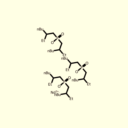 CCCCC(CC)CP(=O)([O-])CC(CC)CCCC.CCCCC(CC)CP(=O)([O-])CC(CC)CCCC.CCCCC(CC)CP(=O)([O-])CC(CC)CCCC.[Nd+3]